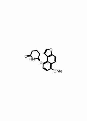 COc1cccc2c1ccc1occ([C@H]3CCC(=O)NC3=O)c12